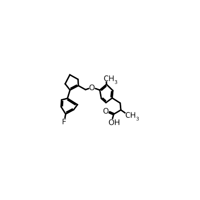 Cc1cc(CC(C)C(=O)O)ccc1OCC1=C(c2ccc(F)cc2)CCC1